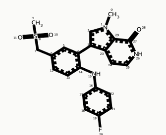 Cn1cc(-c2cc(CS(C)(=O)=O)ccc2Nc2ccc(F)cc2)c2cc[nH]c(=O)c21